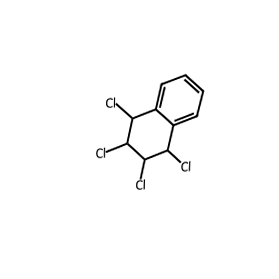 ClC1c2ccccc2C(Cl)C(Cl)C1Cl